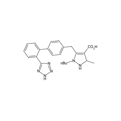 CCCCN1NC(C)C(C(=O)O)=C1Cc1ccc(-c2ccccc2-c2nn[nH]n2)cc1